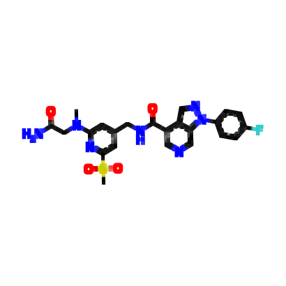 CN(CC(N)=O)c1cc(CNC(=O)c2cncc3c2cnn3-c2ccc(F)cc2)cc(S(C)(=O)=O)n1